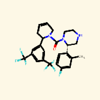 Cc1cc(F)ccc1[C@H]1CNCCN1C(=O)N1CC=CCC1c1cc(C(F)(F)F)cc(C(F)(F)F)c1